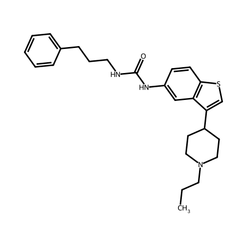 CCCN1CCC(c2csc3ccc(NC(=O)NCCCc4ccccc4)cc23)CC1